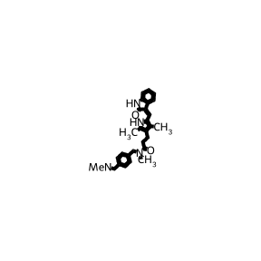 CNCc1ccc(CN(C)C(=O)CCc2c(C)[nH]c(C=C3C(=O)Nc4ccccc43)c2C)cc1